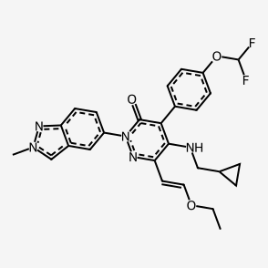 CCO/C=C/c1nn(-c2ccc3nn(C)cc3c2)c(=O)c(-c2ccc(OC(F)F)cc2)c1NCC1CC1